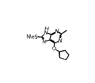 CSc1nc2c(OC3CCCC3)nc(C)nc2[nH]1